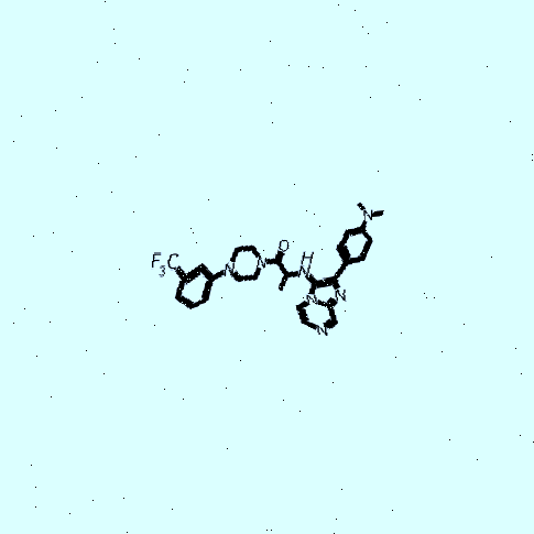 CC(Nc1c(-c2ccc(N(C)C)cc2)nc2cnccn12)C(=O)N1CCN(c2cccc(C(F)(F)F)c2)CC1